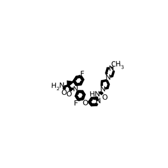 CN1CCN(C2CCN(C(=O)Nc3cc(Oc4ccc(N(C(=O)C5(C(N)=O)CC5)c5ccc(F)cc5)cc4F)ccn3)CC2)CC1